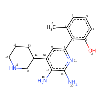 Cc1cccc(O)c1-c1cc(C2CCCNC2)c(N)c(N)n1